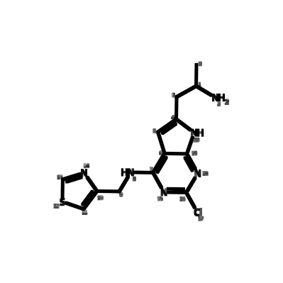 CC(N)Cc1cc2c(NCc3cscn3)nc(Cl)nc2[nH]1